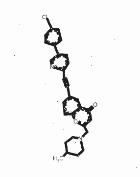 CC1CCN(Cc2cc(=O)c3cc(C#Cc4ccc(-c5ccc(Cl)cc5)cn4)ccc3o2)CC1